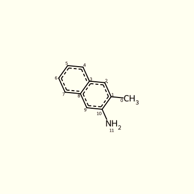 Cc1[c]c2ccccc2cc1N